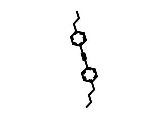 CCCCc1ccc(C#Cc2ccc(CCC)cc2)cc1